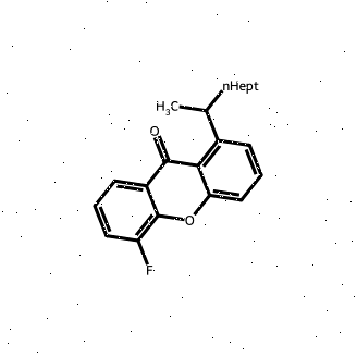 CCCCCCCC(C)c1cccc2oc3c(F)cccc3c(=O)c12